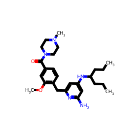 CCCC(CCC)Nc1cc(N)nc(Cc2ccc(C(=O)N3CCN(C)CC3)cc2OC)c1